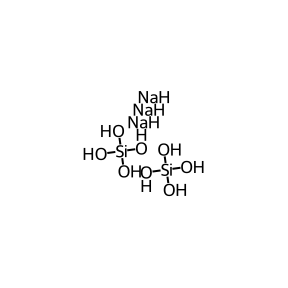 O[Si](O)(O)O.O[Si](O)(O)O.[NaH].[NaH].[NaH]